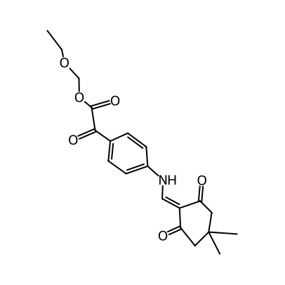 CCOCOC(=O)C(=O)c1ccc(NC=C2C(=O)CC(C)(C)CC2=O)cc1